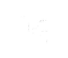 C=C1C=C2C[C@@H](CCCCCCCCCC)C3C(CC[C@]4(C)C(C)CCC34)C2(C)CC1